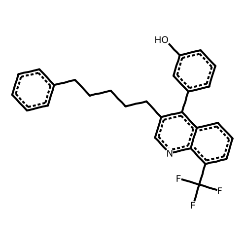 Oc1cccc(-c2c(CCCCCc3ccccc3)cnc3c(C(F)(F)F)cccc23)c1